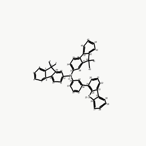 CC1(C)c2ccccc2-c2ccc(N(c3cccc(-c4cccc5c4sc4ccccc45)c3)c3ccc4c(c3)C(C)(C)c3ccccc3-4)cc21